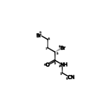 N#CCNC(=O)[C@@H](Br)CCBr